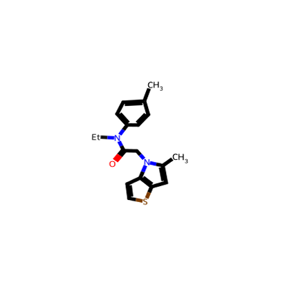 CCN(C(=O)Cn1c(C)cc2sccc21)c1ccc(C)cc1